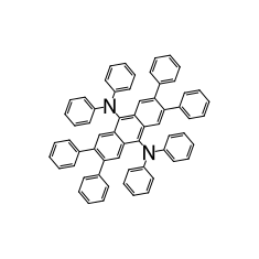 c1ccc(-c2cc3c(N(c4ccccc4)c4ccccc4)c4cc(-c5ccccc5)c(-c5ccccc5)cc4c(N(c4ccccc4)c4ccccc4)c3cc2-c2ccccc2)cc1